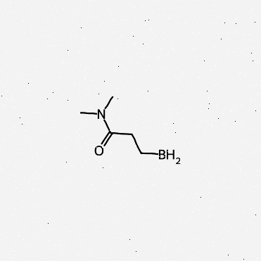 BCCC(=O)N(C)C